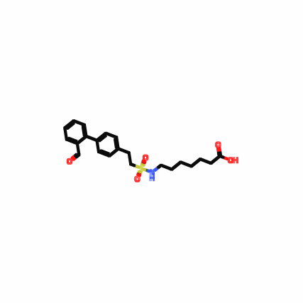 O=Cc1ccccc1-c1ccc(CCS(=O)(=O)NCCCCCCC(=O)O)cc1